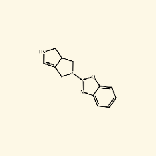 C1=C2CN(c3nc4ccccc4o3)CC2CN1